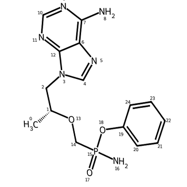 C[C@H](Cn1cnc2c(N)ncnc21)OCP(N)(=O)Oc1ccccc1